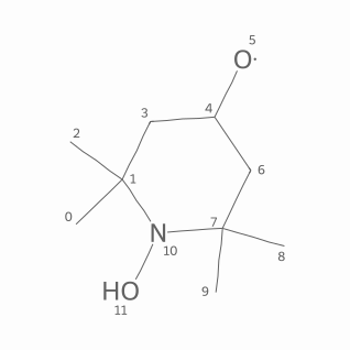 CC1(C)CC([O])CC(C)(C)N1O